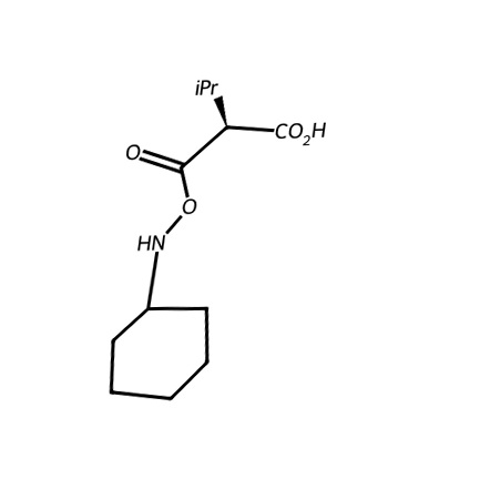 CC(C)[C@@H](C(=O)O)C(=O)ONC1CCCCC1